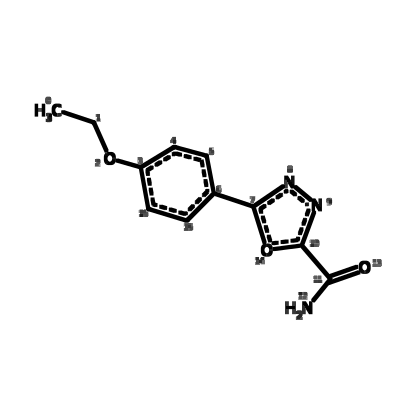 CCOc1ccc(-c2nnc(C(N)=O)o2)cc1